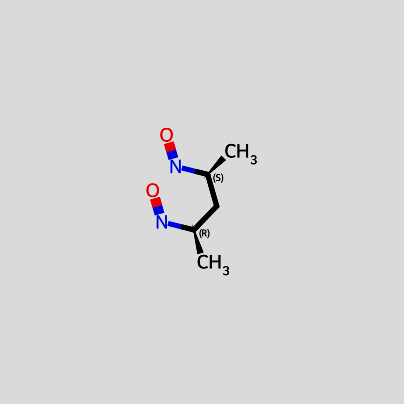 C[C@H](C[C@H](C)N=O)N=O